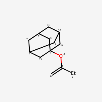 C=C(CC)OC12CC3CC(CC(C3)C1)C2